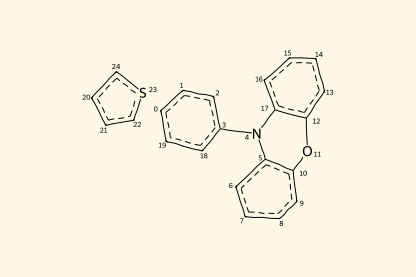 c1ccc(N2c3ccccc3Oc3ccccc32)cc1.c1ccsc1